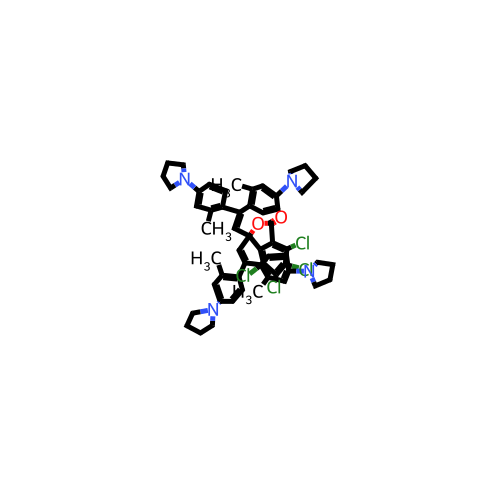 Cc1cc(N2CCCC2)ccc1C(=CC1(C=C(c2ccc(N3CCCC3)cc2C)c2ccc(N3CCCC3)cc2C)OC(=O)c2c(Cl)c(Cl)c(Cl)c(Cl)c21)c1ccc(N2CCCC2)cc1C